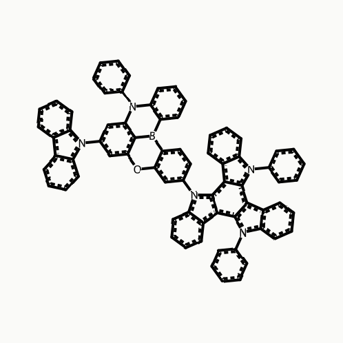 c1ccc(N2c3ccccc3B3c4ccc(-n5c6ccccc6c6c7c(c8ccccc8n7-c7ccccc7)c7c(c8ccccc8n7-c7ccccc7)c65)cc4Oc4cc(-n5c6ccccc6c6ccccc65)cc2c43)cc1